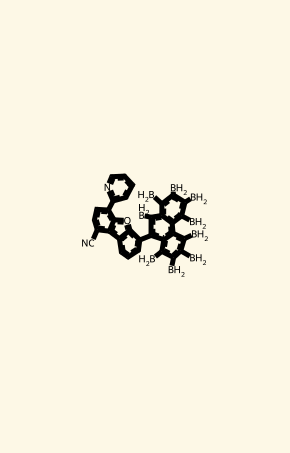 Bc1c(B)c(B)c2c(c1B)c(B)c(-c1cccc3c1oc1c(-c4ccccn4)ccc(C#N)c13)c1c(B)c(B)c(B)c(B)c12